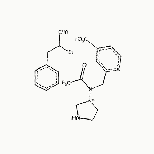 CCC(C=O)Cc1ccccc1.O=C(O)c1ccnc(CN(C(=O)C(F)(F)F)[C@@H]2CCNC2)c1